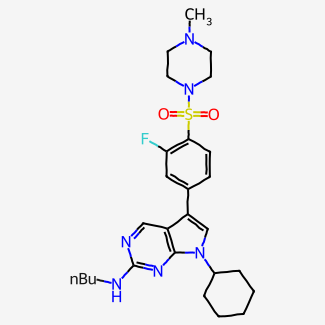 CCCCNc1ncc2c(-c3ccc(S(=O)(=O)N4CCN(C)CC4)c(F)c3)cn(C3CCCCC3)c2n1